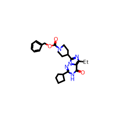 CCc1nc(C2CCN(C(=O)OCc3ccccc3)CC2)n2nc(C3CCCC3)[nH]c(=O)c12